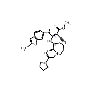 COC(=O)/C(C#N)=C(\Nc1ccc2cc(C)oc2c1)N[C@H]1CCCCN(CC(=O)N2CCCC2)C1=O